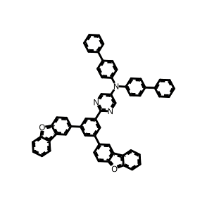 c1ccc(-c2ccc(N(c3ccc(-c4ccccc4)cc3)c3cnc(-c4cc(-c5ccc6oc7ccccc7c6c5)cc(-c5ccc6oc7ccccc7c6c5)c4)nc3)cc2)cc1